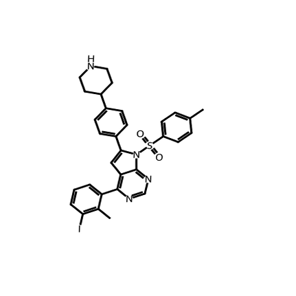 Cc1ccc(S(=O)(=O)n2c(-c3ccc(C4CCNCC4)cc3)cc3c(-c4cccc(I)c4C)ncnc32)cc1